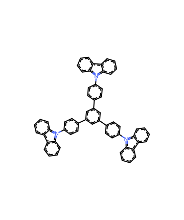 c1ccc2c(c1)c1ccccc1n2-c1ccc(-c2cc(-c3ccc(-n4c5ccccc5c5ccccc54)cc3)cc(-c3ccc(-n4c5ccccc5c5ccccc54)cc3)c2)cc1